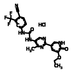 CCOc1cc(-c2ncc(NC(=O)Nc3ccc(C#N)c(C(F)(F)F)c3)c(C)n2)c[nH]c1=O.Cl